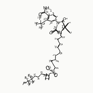 CC1(C)C(=O)N(c2ccc(C(N)=O)c(C(F)(F)F)c2)C(=O)N1CCCCCCCCCS(=O)(=O)NCCCC(F)(F)C(F)(F)F